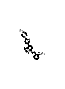 CCN1CCN(c2ccc(-c3ccc(NCc4ccccc4OC)n4cnnc34)cn2)CC1